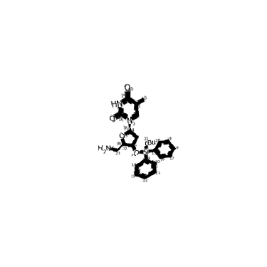 Cc1cn([C@H]2CC(O[Si](c3ccccc3)(c3ccccc3)C(C)(C)C)[C@@H](CN)O2)c(=O)[nH]c1=O